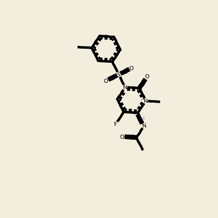 CC(=O)/N=c1\c(F)cn(S(=O)(=O)c2cccc(C)c2)c(=O)n1C